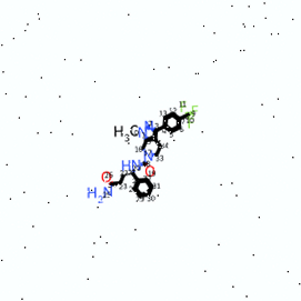 Cn1nc(-c2ccc(C(F)(F)F)cc2)c2c1CN(C(=O)N[C@@H](CCC(N)=O)c1ccccc1)CC2